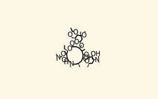 CC[C@H]1OC(=O)[C@H](C)[C@@H](O[C@H]2C[C@@](C)(OC)[C@@H](OC(C)=O)[C@H](C)O2)C(C)[C@@H](O[C@@H]2O[C@H](C)C[C@H](N(C)C)[C@H]2O)[C@](C)(O)C[C@@H](C)CN(C)[C@H](C)[C@H]2OC(N(C)C)O[C@@]21C